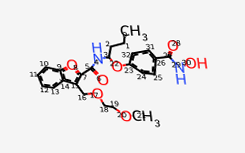 CCCC(NC(=O)c1oc2ccccc2c1COCCOC)Oc1ccc(C(=O)NO)cc1